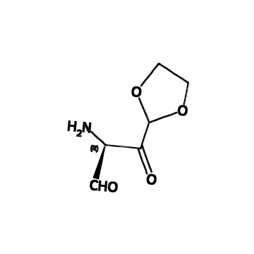 N[C@H](C=O)C(=O)C1OCCO1